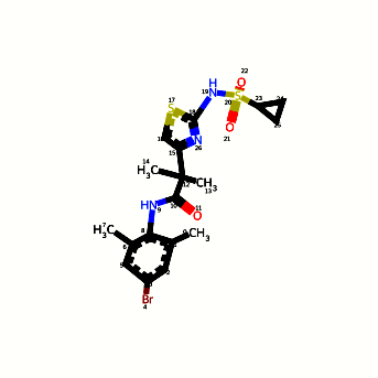 Cc1cc(Br)cc(C)c1NC(=O)C(C)(C)c1csc(NS(=O)(=O)C2CC2)n1